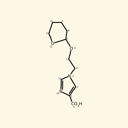 O=C(O)c1cn(CCOC2CCCCO2)cn1